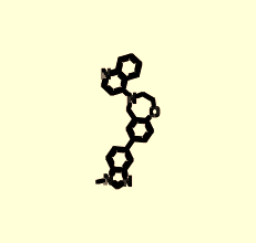 Cn1cnc2cc(-c3ccc4c(c3)CN(c3ccnc5ccccc35)CCO4)ccc21